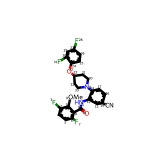 COc1c(F)ccc(F)c1C(=O)Nc1cc(C#N)ccc1N1CCC(Oc2ccc(F)cc2F)CC1